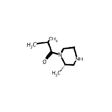 CC(C)C(=O)N1CCNC[C@@H]1C